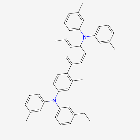 C=C(/C=C\C(C=CC)N(c1cccc(C)c1)c1cccc(C)c1)c1ccc(N(c2cccc(C)c2)c2cccc(CC)c2)cc1C